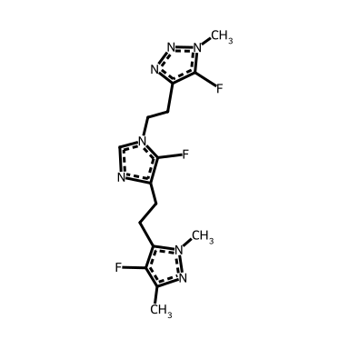 Cc1nn(C)c(CCc2ncn(CCc3nnn(C)c3F)c2F)c1F